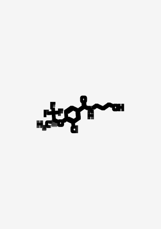 C[C@@H](Oc1ccc(C(=O)NCCCO)cc1Cl)C(F)(F)F